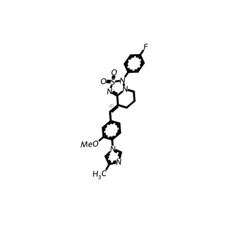 COc1cc(/C=C2\CCCN3C2=NS(=O)(=O)N3c2ccc(F)cc2)ccc1-n1cnc(C)c1